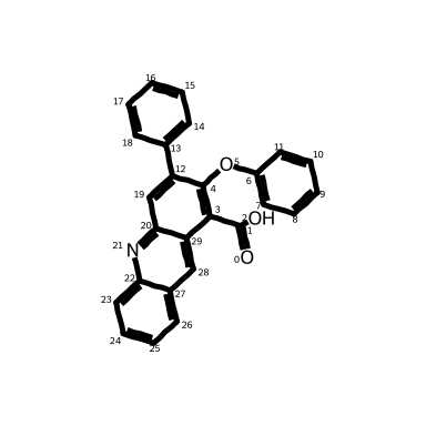 O=C(O)c1c(Oc2ccccc2)c(-c2ccccc2)cc2nc3ccccc3cc12